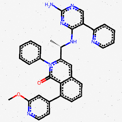 COc1cc(-c2cccc3cc([C@H](C)Nc4nc(N)ncc4-c4ccccn4)n(-c4ccccc4)c(=O)c23)ccn1